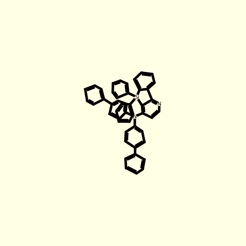 c1ccc(-c2ccc(N(c3ccc(-c4ccccc4)cc3)c3ccnc4c3[Si](c3ccccc3)(c3ccccc3)c3ccccc3-4)cc2)cc1